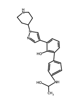 CC(O)Nc1ccc(-c2cccc(-c3cnn(C4CCNCC4)c3)c2O)cc1